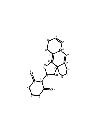 O=C1CCCC(=O)N1C1CC23CCCCC2=CN2C=CCCC2=C3O1